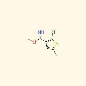 COC(=N)c1cc(C)sc1Cl